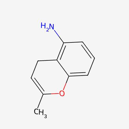 CC1=CCc2c(N)cccc2O1